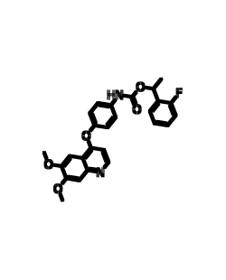 COc1cc2nccc(Oc3ccc(NC(=O)OC(C)c4ccccc4F)cc3)c2cc1OC